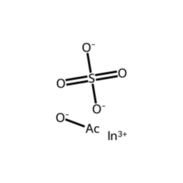 CC(=O)[O-].O=S(=O)([O-])[O-].[In+3]